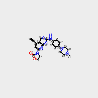 C#Cc1cc(N2CCOC2=O)nc2nc(Nc3ccc(N4CCN(C)CC4)cc3)ncc12